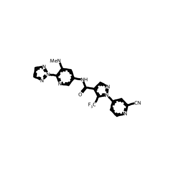 CNc1cc(NC(=O)c2cnn(-c3ccnc(C#N)c3)c2C(F)(F)F)cnc1-n1nccn1